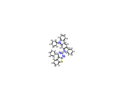 c1ccc(-c2nc(-n3c4ccccc4c4cc5c6ccccc6n(-c6ccccc6)c5cc43)nc3sc4ccccc4c23)cc1